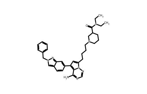 CCN(CC)C(=O)C1CCCN(CCCCc2cc(-c3ccc4cn(Cc5ccccc5)nc4c3)c3c(N)ncnn23)C1